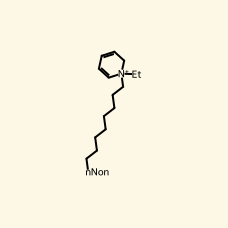 CCCCCCCCCCCCCCCCC[N+]1(CC)C=CC=CC1